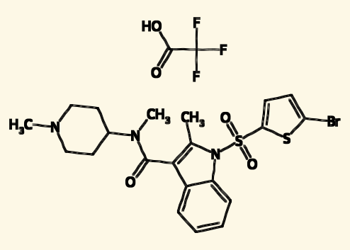 Cc1c(C(=O)N(C)C2CCN(C)CC2)c2ccccc2n1S(=O)(=O)c1ccc(Br)s1.O=C(O)C(F)(F)F